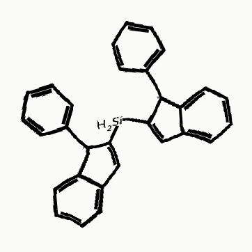 C1=C([SiH2]C2=Cc3ccccc3[C]2c2ccccc2)[C](c2ccccc2)c2ccccc21